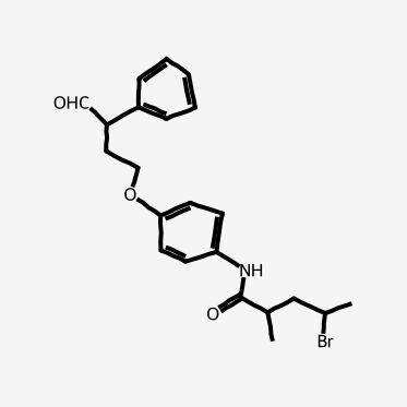 CC(Br)CC(C)C(=O)Nc1ccc(OCCC(C=O)c2ccccc2)cc1